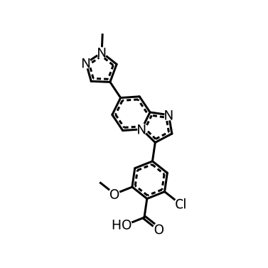 COc1cc(-c2cnc3cc(-c4cnn(C)c4)ccn23)cc(Cl)c1C(=O)O